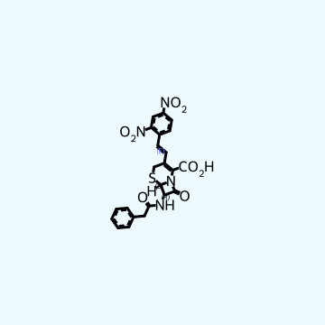 O=C(Cc1ccccc1)N[C@@H]1C(=O)N2C(C(=O)O)=C(/C=C/c3ccc([N+](=O)[O-])cc3[N+](=O)[O-])CS[C@@H]12